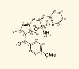 COc1ccc(C(=O)c2c(C)cc(C/C(=C/c3ccccc3)S(N)(=O)=O)n2C)cc1